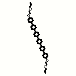 C=CCOCCOc1ccc(-c2ccc(-c3ccc(-c4ccc(-c5ccc(-c6ccc(OCCOCC=C)cc6)cc5)cc4)cc3)cc2)cc1